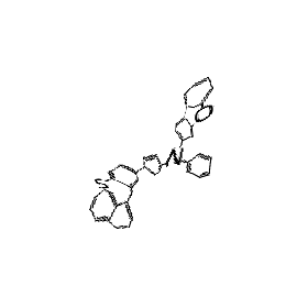 c1ccc(N(c2ccc(-c3ccc4c(c3)-c3cccc5cccc(c35)S4)cc2)c2ccc3c(c2)oc2ccccc23)cc1